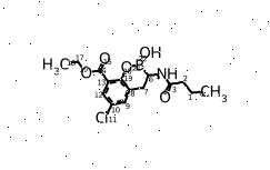 CCCC(=O)NC1Cc2cc(Cl)cc(C(=O)OCC)c2OB1O